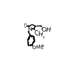 COc1ccc(CN2C(=O)CC(CO)C2C)cc1